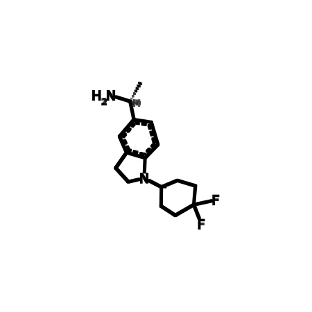 C[C@@H](N)c1ccc2c(c1)CCN2[C]1CCC(F)(F)CC1